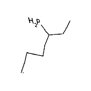 [CH2]CCC(P)CC